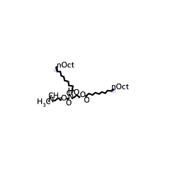 CCCCCCCC/C=C\CCCCCCCC(=O)OCC(CNC(=O)OCCCN(C)C)OC(=O)CCCCCCC/C=C\CCCCCCCC